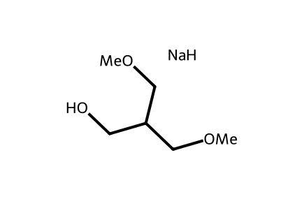 COCC(CO)COC.[NaH]